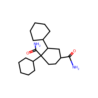 NC(=O)C1CCC(C(N)=O)(C2CCCCC2)C(C2CCCCC2)C1